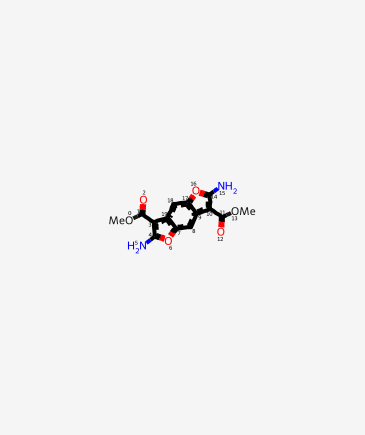 COC(=O)c1c(N)oc2cc3c(C(=O)OC)c(N)oc3cc12